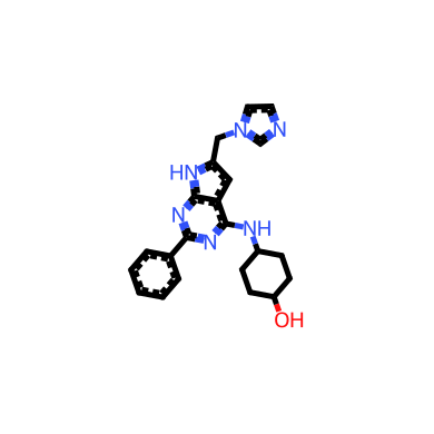 OC1CCC(Nc2nc(-c3ccccc3)nc3[nH]c(Cn4ccnc4)cc23)CC1